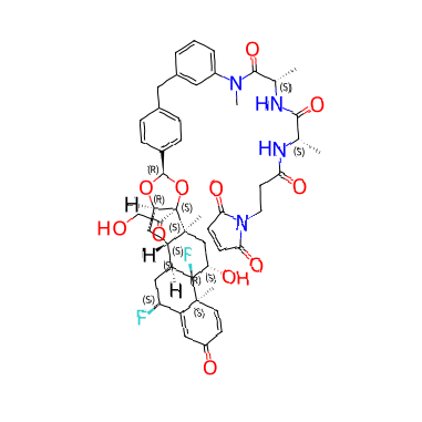 C[C@H](NC(=O)CCN1C(=O)C=CC1=O)C(=O)N[C@@H](C)C(=O)N(C)c1cccc(Cc2ccc([C@@H]3O[C@@H]4C[C@H]5[C@@H]6C[C@H](F)C7=CC(=O)C=C[C@]7(C)[C@@]6(F)[C@@H](O)C[C@]5(C)[C@]4(C(=O)CO)O3)cc2)c1